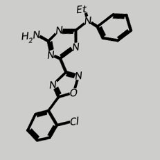 CCN(c1ccccc1)c1nc(N)nc(-c2noc(-c3ccccc3Cl)n2)n1